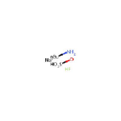 CCCCN.F.O=S(=O)([O-])O.[Na+]